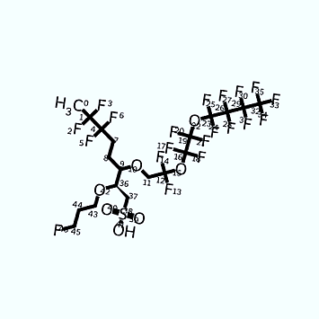 CC(F)(F)C(F)(F)CCC(OCC(F)(F)OC(F)(F)C(F)(F)OC(F)(F)C(F)(F)C(F)(F)C(F)(F)F)[C@@H](CS(=O)(=O)O)OCCCF